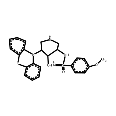 N=S(=O)(NC1CNCC(N2c3ccccc3Sc3ccccc32)C1O)c1ccc(OC(F)(F)F)cc1